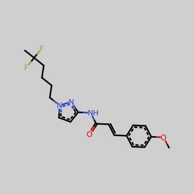 COc1ccc(C=CC(=O)Nc2ccn(CCCCC(C)(F)F)n2)cc1